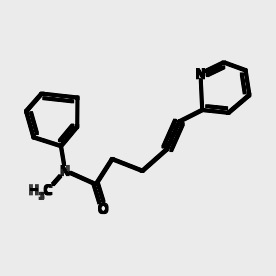 CN(C(=O)CCC#Cc1ccccn1)c1ccccc1